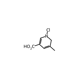 CC1=CC(C(=O)O)=CN(Cl)C1